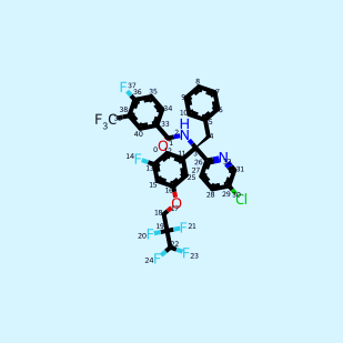 O=C(N[C@@](Cc1ccccc1)(c1cc(F)cc(OCC(F)(F)C(F)F)c1)c1ccc(Cl)cn1)c1ccc(F)c(C(F)(F)F)c1